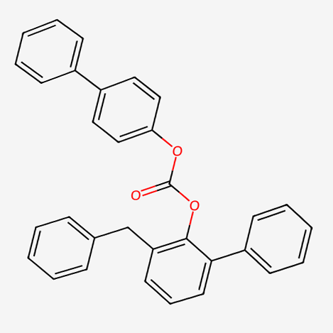 O=C(Oc1ccc(-c2ccccc2)cc1)Oc1c(Cc2ccccc2)cccc1-c1ccccc1